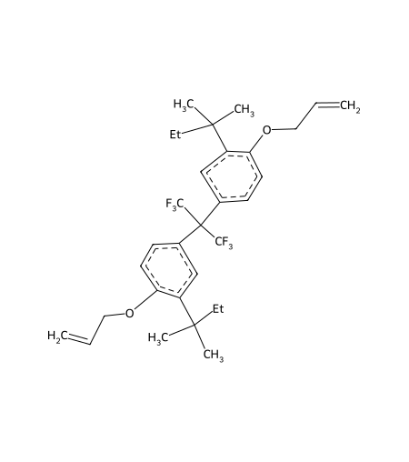 C=CCOc1ccc(C(c2ccc(OCC=C)c(C(C)(C)CC)c2)(C(F)(F)F)C(F)(F)F)cc1C(C)(C)CC